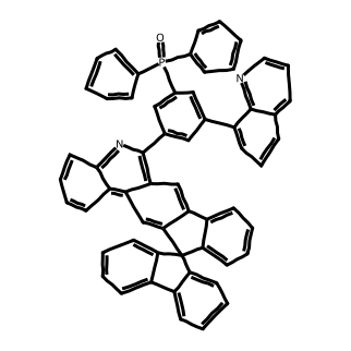 O=P(c1ccccc1)(c1ccccc1)c1cc(-c2nc3ccccc3c3cc4c(cc23)-c2ccccc2C42c3ccccc3-c3ccccc32)cc(-c2cccc3cccnc23)c1